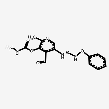 CNC(=O)Oc1c(C)ncc(NOPOc2ccccc2)c1C=O